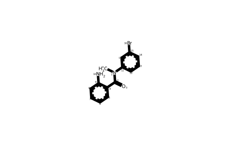 CN(C(=O)c1ccccc1N)c1cccc(Br)c1